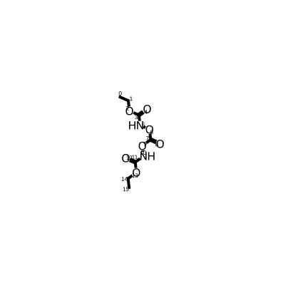 CCOC(=O)NOC(=O)ONC(=O)OCC